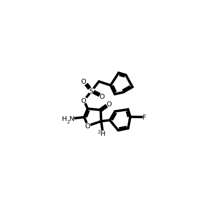 [2H]C1(c2ccc(F)cc2)OC(N)=C(OS(=O)(=O)Cc2ccccc2)C1=O